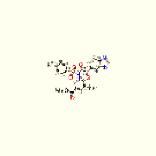 CCCc1cc(C(=O)OC)ccc1OC(C(=O)NS(=O)(=O)c1ccc(C(C)C)cc1)c1ccc2nsnc2c1